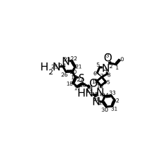 C=CC(=O)N1CC[C@]2(C1)C[C@H](n1c(NC(=O)c3ccc(-c4ccnc(N)c4)s3)nc3ccccc31)C2